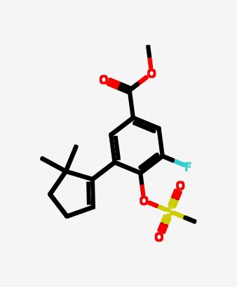 COC(=O)c1cc(F)c(OS(C)(=O)=O)c(C2=CCCC2(C)C)c1